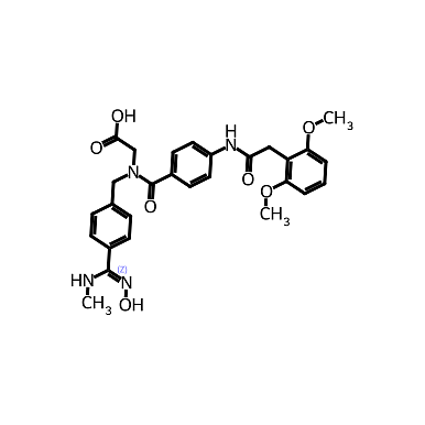 CN/C(=N\O)c1ccc(CN(CC(=O)O)C(=O)c2ccc(NC(=O)Cc3c(OC)cccc3OC)cc2)cc1